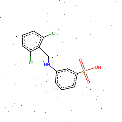 O=S(=O)(O)c1cccc(NCc2c(Cl)cccc2Cl)c1